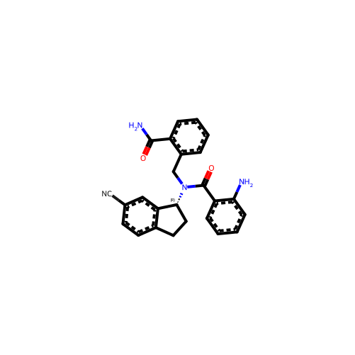 N#Cc1ccc2c(c1)[C@H](N(Cc1ccccc1C(N)=O)C(=O)c1ccccc1N)CC2